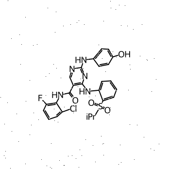 CC(C)S(=O)(=O)c1ccccc1Nc1nc(Nc2ccc(O)cc2)ncc1C(=O)Nc1c(F)cccc1Cl